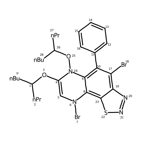 CCCCC(CCC)OC1=CN(Br)c2c(c(-c3ccccc3)c(Br)c3nnsc23)N1OC(CCC)CCCC